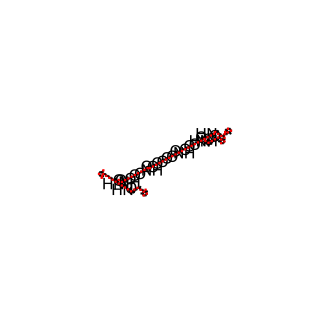 CC1=C(CCCCCCCCC(=O)N[C@@H](CCCCNC(=O)CC(C)CCCC(C)CCC2=C(C)CCCC2(C)C)C(=O)NCCCOCCOCCOCCCNC(=O)CCOCCOCCOCCOCCOCCC(=O)NCCCOCCOCCOCCCNC(=O)[C@H](CCCCNC(=O)CC(C)CCCC(C)CCC2=C(C)CCCC2(C)C)NC(=O)CC(C)CCCCCCC2=C(C)CCCC2(C)C)C(C)(C)CCC1